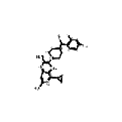 Cc1cc2nc(N)c(N3CCC(C(F)c4ccc(F)cc4F)CC3)nc2c(C2CC2)n1